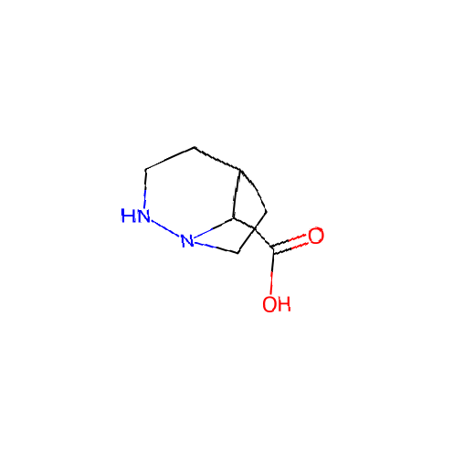 O=C(O)C1C2CCNN1CC2